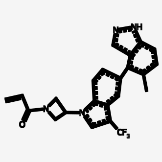 C=CC(=O)N1CC(n2cc(C(F)(F)F)c3cc(-c4c(C)ccc5[nH]ncc45)ccc32)C1